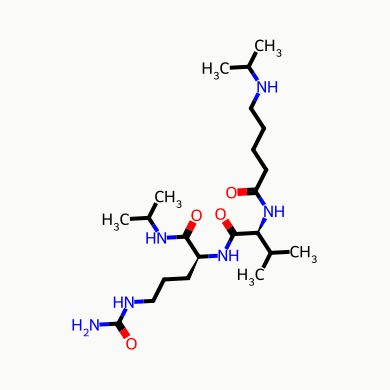 CC(C)NCCCCC(=O)N[C@H](C(=O)N[C@@H](CCCNC(N)=O)C(=O)NC(C)C)C(C)C